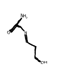 NC(=O)N=CCCO